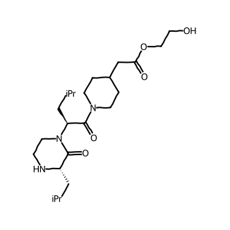 CC(C)C[C@@H]1NCCN([C@@H](CC(C)C)C(=O)N2CCC(CC(=O)OCCO)CC2)C1=O